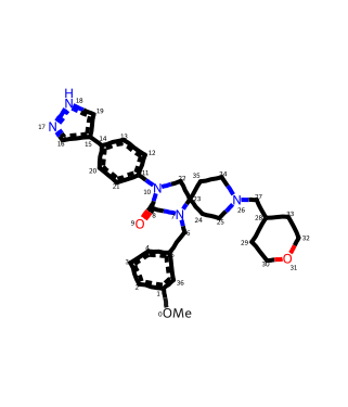 COc1cccc(CN2C(=O)N(c3ccc(-c4cn[nH]c4)cc3)CC23CCN(CC2CCOCC2)CC3)c1